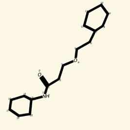 O=C(CCOCCC1CCCCC1)NC1CCCCC1